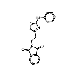 O=C1c2ccccc2C(=O)N1CCc1csc(Nc2ccccc2)n1